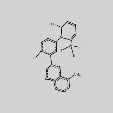 Cc1cccc2ncc(-c3cc(N4C(C(F)(F)F)=CC=CC4C)ccc3Cl)nc12